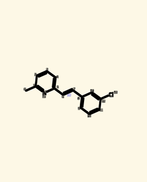 Cc1cccc(/C=C/c2cccc(Cl)c2)n1